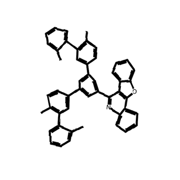 Cc1ccccc1-c1cc(-c2cc(-c3ccc(C)c(-c4ccccc4C)c3)cc(-c3nc4ccccc4c4oc5ccccc5c34)c2)ccc1C